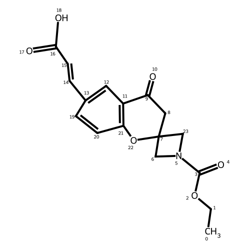 CCOC(=O)N1CC2(CC(=O)c3cc(C=CC(=O)O)ccc3O2)C1